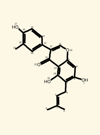 CC(C)=CCc1c(O)cc2occ(-c3ccc(O)c(C)c3)c(=O)c2c1O